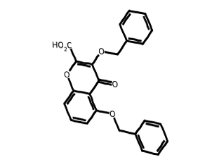 O=C(O)c1oc2cccc(OCc3ccccc3)c2c(=O)c1OCc1ccccc1